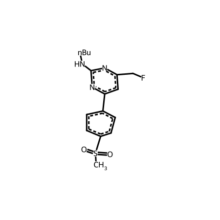 CCCCNc1nc(CF)cc(-c2ccc(S(C)(=O)=O)cc2)n1